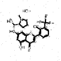 CN1CC[C@H](c2c(O)cc(O)c3c(=O)cc(-c4cccc(C(F)(F)F)c4Cl)oc23)[C@H]1CO.Cl